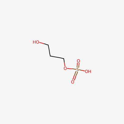 O=S(=O)(O)OCCCO